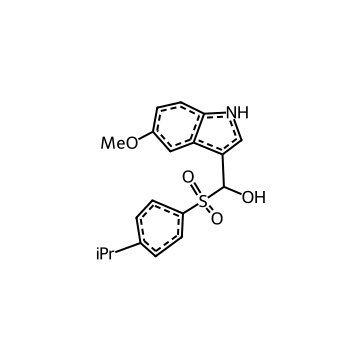 COc1ccc2[nH]cc(C(O)S(=O)(=O)c3ccc(C(C)C)cc3)c2c1